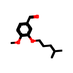 COc1ccc(C=O)cc1OCCCC(C)C